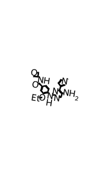 CCOc1cc(C(=O)NC2COC2)ccc1Nc1ncc(N)c(-c2ccn(C)c2)n1